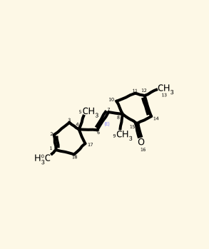 CC1=CCC(C)(/C=C/C2(C)CCC(C)=CC2=O)CC1